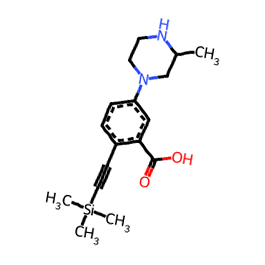 CC1CN(c2ccc(C#C[Si](C)(C)C)c(C(=O)O)c2)CCN1